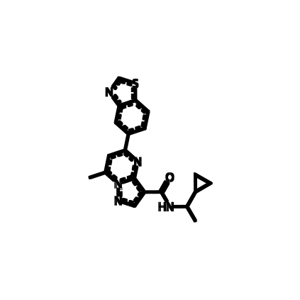 Cc1cc(-c2ccc3scnc3c2)nc2c(C(=O)NC(C)C3CC3)cnn12